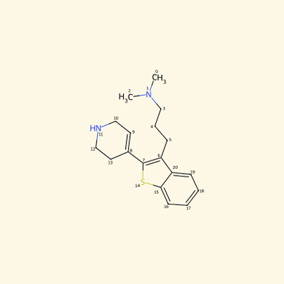 CN(C)CCCc1c(C2=CCNCC2)sc2ccccc12